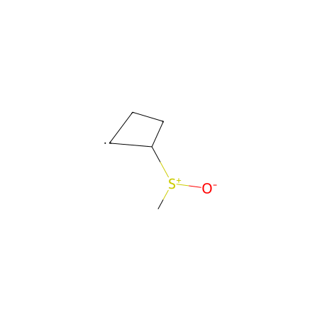 C[S+]([O-])C1[CH]CC1